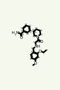 CCOc1cc(OC)ccc1CNCC(=O)N1CCC[C@@H](c2cccc(C(N)=O)c2)C1